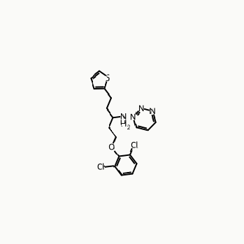 NC(CCOc1c(Cl)cccc1Cl)CCc1cccs1.c1cnnnc1